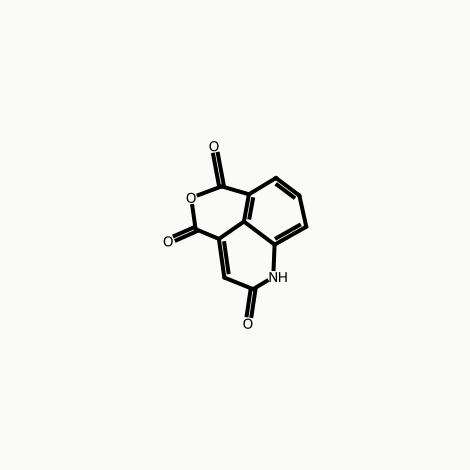 O=C1OC(=O)c2cc(=O)[nH]c3cccc1c23